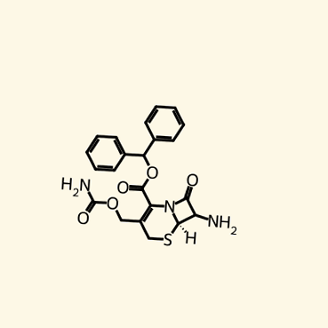 NC(=O)OCC1=C(C(=O)OC(c2ccccc2)c2ccccc2)N2C(=O)C(N)[C@H]2SC1